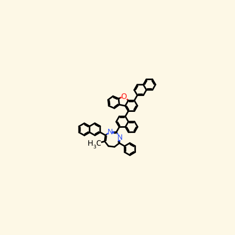 C/C1=C(c2ccc3ccccc3c2)/N=C(c2ccc(-c3ccc(-c4ccc5ccccc5c4)c4oc5ccccc5c34)c3ccccc23)\N=C(\c2ccccc2)CC1